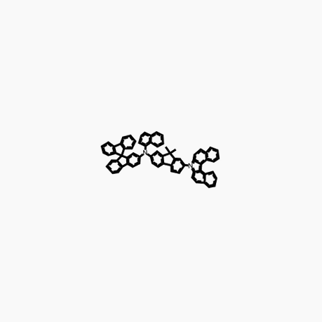 CC1(C)c2cc(N(c3ccc4c(c3)C3(c5ccccc5-c5ccccc53)c3ccccc3-4)c3cccc4ccccc34)ccc2-c2ccc(-n3c4ccc5ccccc5c4c4c5ccccc5ccc43)cc21